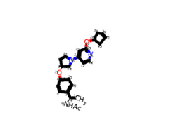 CC(=O)N[C@@H](C)c1ccc(O[C@@H]2CCN(c3ccnc(OC4CC=CC4)c3)C2)cc1